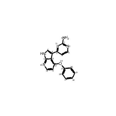 Nc1nccc(-c2c[nH]c3nccc(Oc4ccccc4)c23)n1